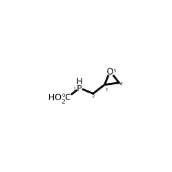 O=C(O)PCC1CO1